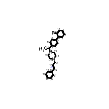 CC(c1ccc(-c2ccccc2F)cc1)N1CCN(C/C=C/c2ccccc2)CC1